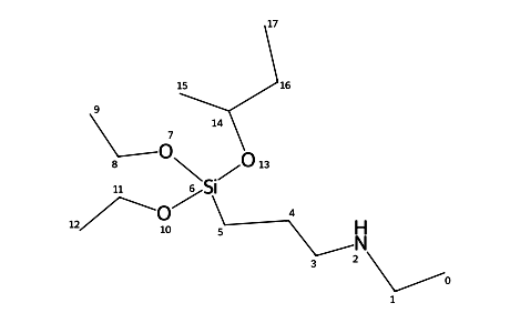 CCNCCC[Si](OCC)(OCC)OC(C)CC